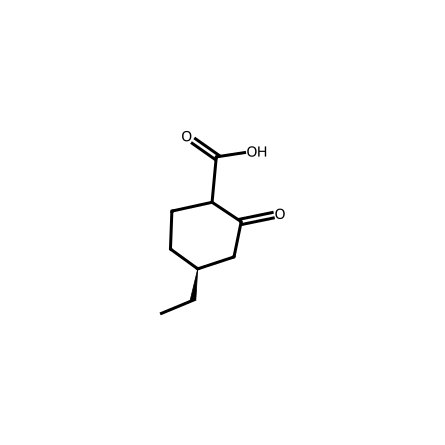 CC[C@H]1CCC(C(=O)O)C(=O)C1